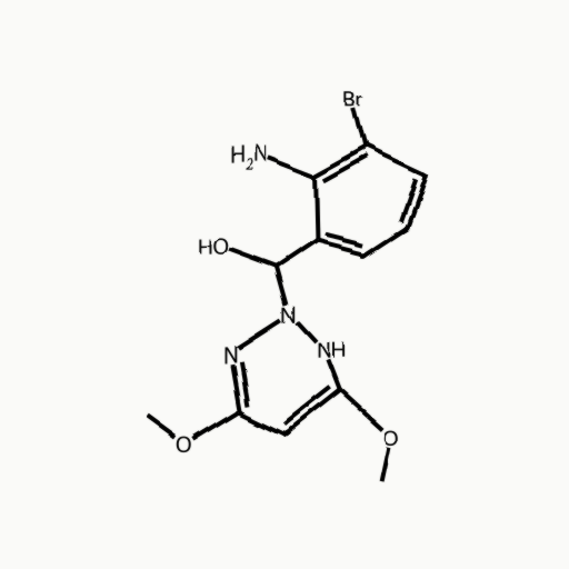 COC1=CC(OC)=NN(C(O)c2cccc(Br)c2N)N1